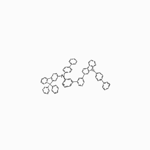 c1ccc(-c2ccc(N(c3cccc(-c4cccc(-c5ccc6c7ccccc7n(-c7ccc(-c8ccccc8)cc7)c6c5)c4)c3)c3ccc4c(c3)C(c3ccccc3)(c3ccccc3)c3ccccc3-4)cc2)cc1